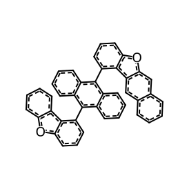 c1ccc2cc3c(cc2c1)oc1cccc(-c2c4ccccc4c(-c4cccc5oc6ccccc6c45)c4ccccc24)c13